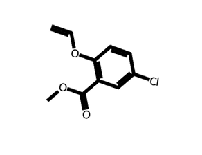 C=COc1ccc(Cl)cc1C(=O)OC